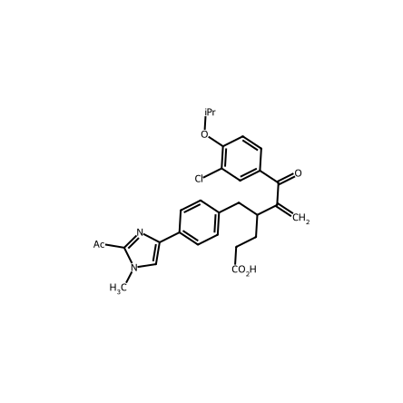 C=C(C(=O)c1ccc(OC(C)C)c(Cl)c1)C(CCC(=O)O)Cc1ccc(-c2cn(C)c(C(C)=O)n2)cc1